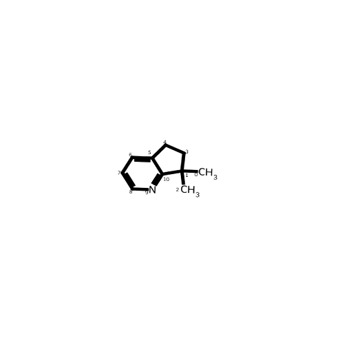 CC1(C)CCc2cccnc21